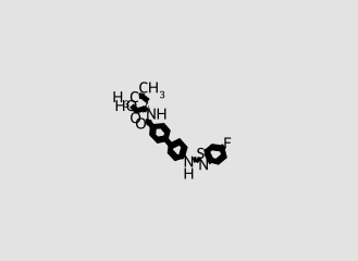 CC(C)C[C@H](NC(=O)c1ccc(-c2ccc(Nc3nc4ccc(F)cc4s3)cc2)cc1)C(=O)O